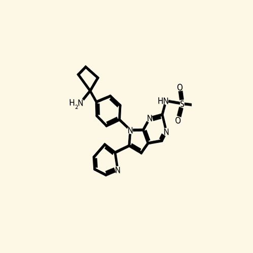 CS(=O)(=O)Nc1ncc2cc(-c3ccccn3)n(-c3ccc(C4(N)CCC4)cc3)c2n1